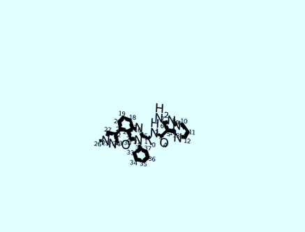 C[C@H](NC(=O)c1c(N)nn2cccnc12)c1nc2cccc(-c3cnn(C)c3)c2c(=O)n1-c1ccccc1